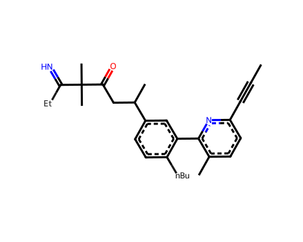 CC#Cc1ccc(C)c(-c2cc(C(C)CC(=O)C(C)(C)C(=N)CC)ccc2CCCC)n1